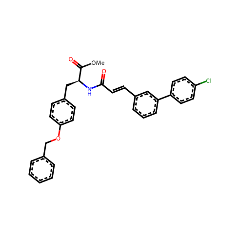 COC(=O)[C@H](Cc1ccc(OCc2ccccc2)cc1)NC(=O)C=Cc1cccc(-c2ccc(Cl)cc2)c1